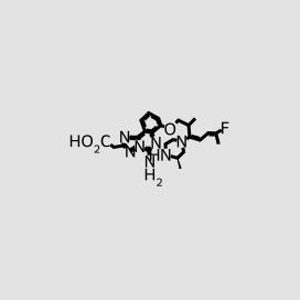 C/C(F)=C\C=C(/C(C)COc1cccc2c1nc(N)n1nc(CC(=O)O)nc21)N1CCN[C@H](C)C1